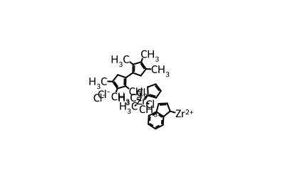 CC1=C(C)C(C)=C(C2=C(C)C(C)=C(C)C2)C1.[CH3][Zr]([CH3])([CH3])([Cl])([Cl])[C]1=CC=CC1.[Cl-].[Cl-].[Zr+2][CH]1C=Cc2ccccc21